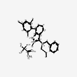 CCCN(Cc1ccccc1)c1c2cccc(-c3c(C)cc(C)cc3C)c2nn1C.O=C(O)C(F)(F)F